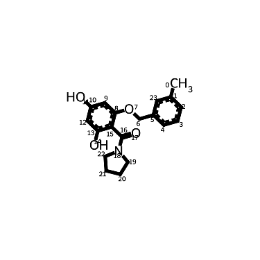 Cc1cccc(COc2cc(O)cc(O)c2C(=O)N2CCCC2)c1